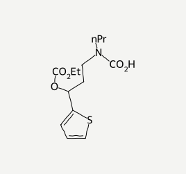 CCCN(CCC(OC(=O)OCC)c1cccs1)C(=O)O